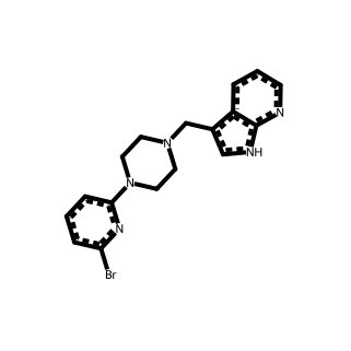 Brc1cccc(N2CCN(Cc3c[nH]c4ncccc34)CC2)n1